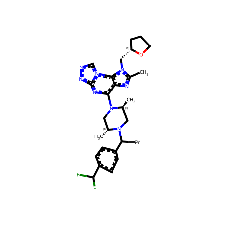 Cc1nc2c(N3C[C@@H](C)N(C(c4ccc(C(F)F)cc4)C(C)C)C[C@@H]3C)nc3nncn3c2n1C[C@@H]1CCCO1